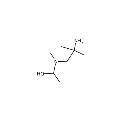 [CH2]C(O)N(C)CC(C)(C)N